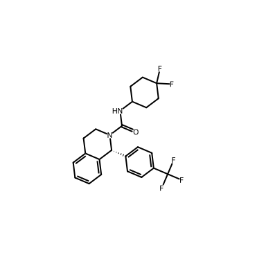 O=C(NC1CCC(F)(F)CC1)N1CCc2ccccc2[C@H]1c1ccc(C(F)(F)F)cc1